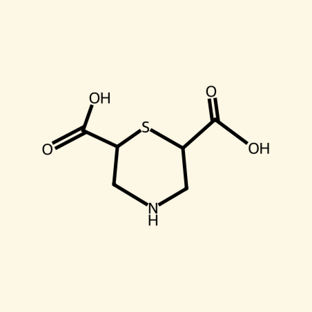 O=C(O)C1CNCC(C(=O)O)S1